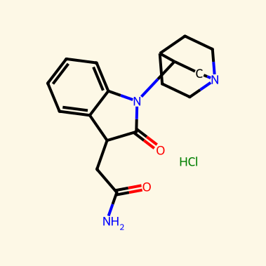 Cl.NC(=O)CC1C(=O)N(C2CN3CCC2CC3)c2ccccc21